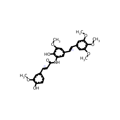 COc1cc(/C=C/C(=O)Nc2cc(/C=C/c3cc(OC)c(OC)c(OC)c3)cc(OC)c2O)ccc1O